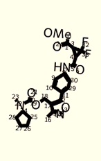 COC(=O)C1C(C(=O)Nc2ccc(-c3onc(C)c3COC(=O)N(C)C3CCCC3)cc2)C1(F)F